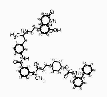 CC(Cc1cccc(NC(=O)c2cccc(N(C)C(=O)CCN3CCC(OC(=O)Nc4ccccc4-c4ccccc4)CC3)c2)c1)NCCc1ccc(O)c2[nH]c(=O)ccc12